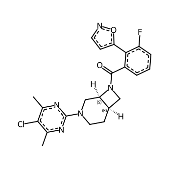 Cc1nc(N2CC[C@@H]3CN(C(=O)c4cccc(F)c4-c4ccno4)[C@@H]3C2)nc(C)c1Cl